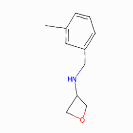 Cc1cccc(CNC2COC2)c1